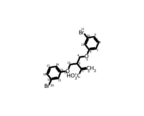 C=C(C(=O)O)C(COc1cccc(Br)c1)COc1cccc(Br)c1